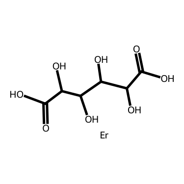 O=C(O)C(O)C(O)C(O)C(O)C(=O)O.[Er]